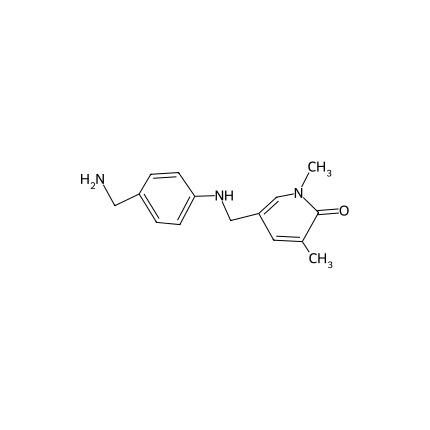 Cc1cc(CNc2ccc(CN)cc2)cn(C)c1=O